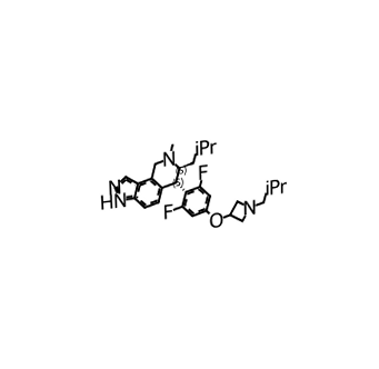 CC(C)C[C@H]1[C@H](c2c(F)cc(OC3CN(CC(C)C)C3)cc2F)c2ccc3[nH]ncc3c2CN1C